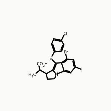 CC(C(=O)O)C1CCn2c1c(Sc1ccc(Cl)cc1)c1c(Br)cc(I)cc12